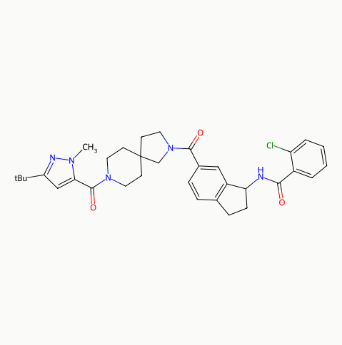 Cn1nc(C(C)(C)C)cc1C(=O)N1CCC2(CCN(C(=O)c3ccc4c(c3)C(NC(=O)c3ccccc3Cl)CC4)C2)CC1